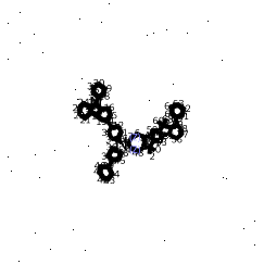 CC1(C)C2=C=C(/C=C\C(N(C3=CC=C(c4ccc5c(c4)c4ccccc4n5-c4ccccc4)CC3)c3ccc(-c4ccccc4)cc3)/C=C\2)c2cc3c(cc21)C1CC=CC(c2ccccc2)=C1C3(C)C